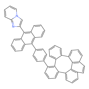 c1ccc2c(-c3cn4ccccc4n3)c3ccccc3c(-c3ccc(-c4cccc5c6cccc7ccc8cccc(c9ccccc9c45)c8c76)cc3)c2c1